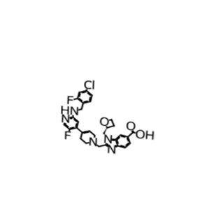 O=C(O)c1ccc2nc(CN3CC=C(c4cc(NCc5ccc(Cl)cc5F)ncc4F)CC3)n(C[C@@H]3CCO3)c2c1